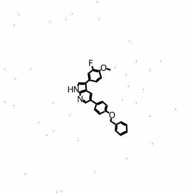 COc1ccc(-c2c[nH]c3ncc(-c4ccc(OCc5ccccc5)cc4)cc23)cc1F